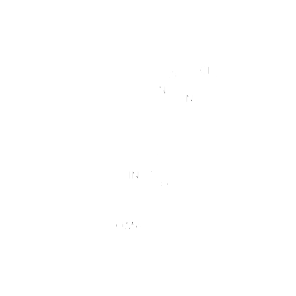 COc1ccccc1CNC(=O)c1ccc(-c2noc(C(F)(F)F)n2)cc1F